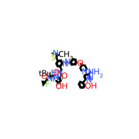 Cc1ncsc1-c1ccc(CNC(=O)[C@H]2C[C@H](O)CN2C(=O)[C@@H](NC(=O)C2(F)CC2)C(C)(C)C)c(/N=N/c2ccc(OC3CCN(c4cc(-c5ccccc5O)nnc4N)CC3)cc2)c1